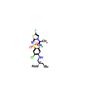 C=C(C)n1cc(F)s/c1=N/S(=O)(=O)c1cc(Cl)c(NC[C@H](CC(C)(C)C)NC)cc1F